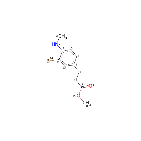 CNc1ccc(CCC(=O)OC)cc1Br